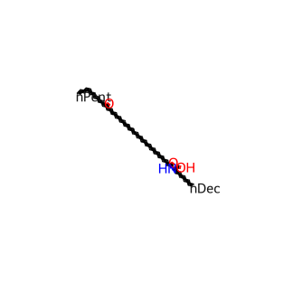 CCCCC/C=C\C/C=C\CCCCCCCC(=O)CCCCCCCCCCCCCCCCCCCCCCCCCCCCCC(=O)NC(CO)CCCCCCCCCCCCCCCCCC